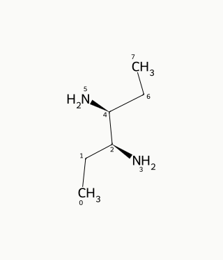 CC[C@H](N)[C@@H](N)CC